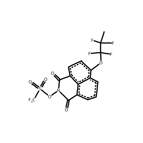 CC(F)(F)C(F)(F)Oc1ccc2c3c(cccc13)C(=O)N(OS(=O)(=O)C(F)(F)F)C2=O